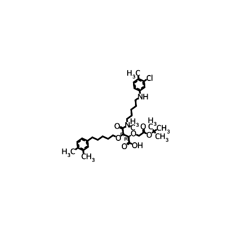 Cc1ccc(CCCCCO[C@@H](C(=O)N(C)CCCCCNc2ccc(C)c(Cl)c2)[C@@H](OCC(=O)OC(C)(C)C)C(=O)O)cc1C